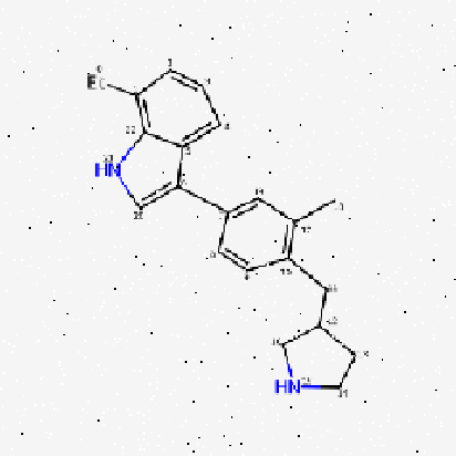 CCc1cccc2c(-c3ccc(CC4CCNC4)c(C)c3)c[nH]c12